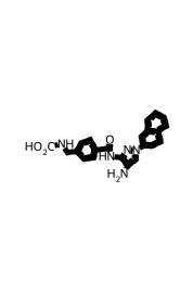 Nc1cn(-c2ccc3ccccc3c2)nc1NC(=O)c1ccc(CNC(=O)O)cc1